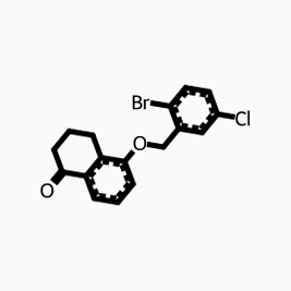 O=C1CCCc2c(OCc3cc(Cl)ccc3Br)cccc21